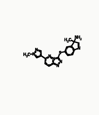 Cn1cc(-c2ccc3nnc(Sc4ccc5c(c4)C(C)(N)C=N5)n3n2)cn1